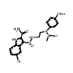 COc1ccc(N(CCN[S+]([O-])c2c(C(N)=O)[nH]c3ccc(Br)cc23)[S+](C)[O-])cc1